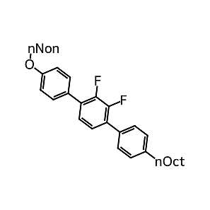 CCCCCCCCCOc1ccc(-c2ccc(-c3ccc(CCCCCCCC)cc3)c(F)c2F)cc1